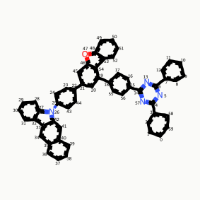 c1ccc(-c2nc(-c3ccccc3)nc(-c3ccc(-c4cc(-c5ccc(-n6c7ccccc7c7cc8ccccc8cc76)cc5)cc5oc6ccccc6c45)cc3)n2)cc1